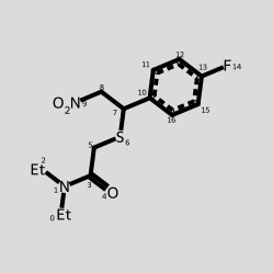 CCN(CC)C(=O)CSC(C[N+](=O)[O-])c1ccc(F)cc1